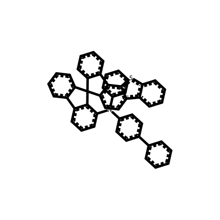 c1ccc(-c2ccc(N(c3ccccc3)c3cccc4c3C3(c5ccccc5-4)c4ccccc4-c4c3ccc3c4sc4ccccc43)cc2)cc1